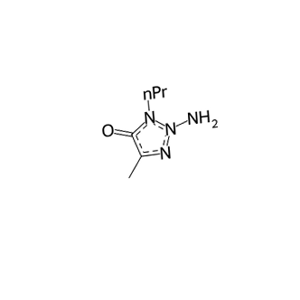 CCCn1c(=O)c(C)nn1N